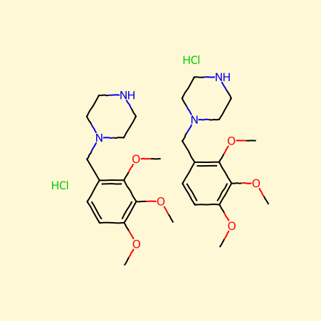 COc1ccc(CN2CCNCC2)c(OC)c1OC.COc1ccc(CN2CCNCC2)c(OC)c1OC.Cl.Cl